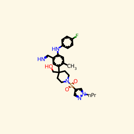 CCCn1cc(S(=O)(=O)N2CCC(CO)(c3cc(C=N)c(Nc4ccc(F)cc4)cc3C)CC2)cn1